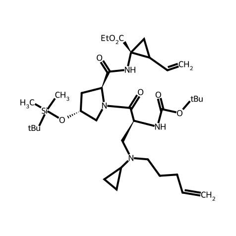 C=CCCCN(C[C@H](NC(=O)OC(C)(C)C)C(=O)N1C[C@H](O[Si](C)(C)C(C)(C)C)C[C@H]1C(=O)N[C@]1(C(=O)OCC)CC1C=C)C1CC1